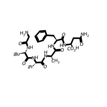 CC[C@H](C)[C@H](NC(=O)CN)C(=O)N[C@H](C(=O)N[C@@H](C)C(=O)N[C@@H](Cc1ccccc1)C(=O)N[C@@H](CC(N)=O)C(=O)O)C(C)C